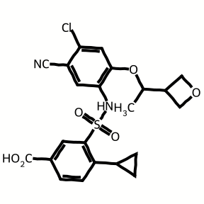 CC(Oc1cc(Cl)c(C#N)cc1NS(=O)(=O)c1cc(C(=O)O)ccc1C1CC1)C1COC1